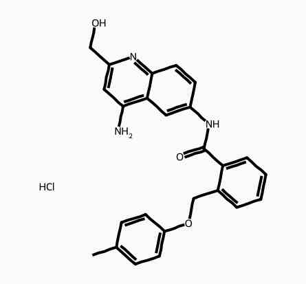 Cc1ccc(OCc2ccccc2C(=O)Nc2ccc3nc(CO)cc(N)c3c2)cc1.Cl